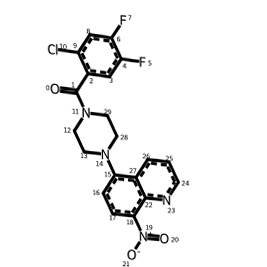 O=C(c1cc(F)c(F)cc1Cl)N1CCN(c2ccc([N+](=O)[O-])c3ncccc23)CC1